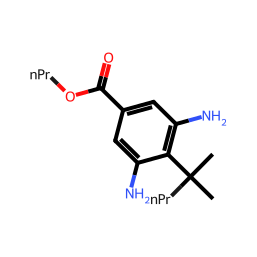 CCCOC(=O)c1cc(N)c(C(C)(C)CCC)c(N)c1